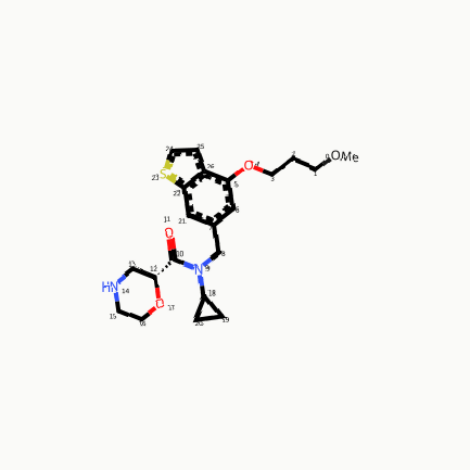 COCCCOc1cc(CN(C(=O)[C@H]2CNCCO2)C2CC2)cc2sccc12